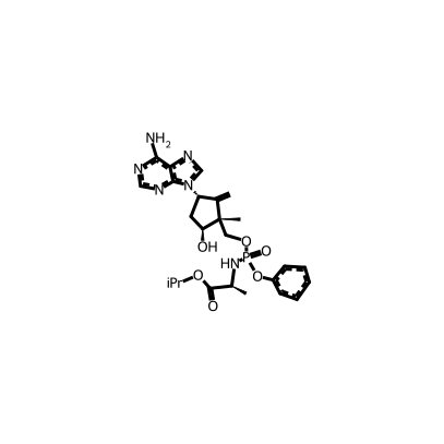 C=C1[C@@H](n2cnc3c(N)ncnc32)C[C@H](O)[C@@]1(C)COP(=O)(N[C@@H](C)C(=O)OC(C)C)Oc1ccccc1